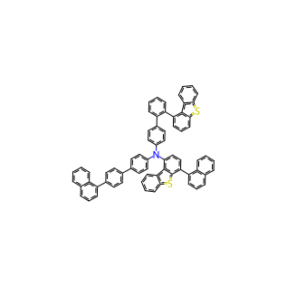 c1ccc(-c2cccc3sc4ccccc4c23)c(-c2ccc(N(c3ccc(-c4ccc(-c5cccc6ccccc56)cc4)cc3)c3ccc(-c4cccc5ccccc45)c4sc5ccccc5c34)cc2)c1